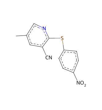 Cc1cnc(Sc2ccc([N+](=O)[O-])cc2)c(C#N)c1